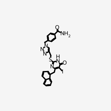 NC(=O)c1ccc(Cn2cc(CSc3nc(Cc4cccc5ccccc45)c(I)c(=O)[nH]3)nn2)cc1